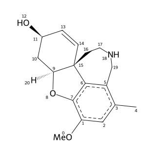 COc1cc(C)c2c3c1O[C@H]1C[C@@H](O)C=C[C@]31CCNC2